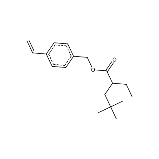 C=Cc1ccc(COC(=O)C(CC)CC(C)(C)C)cc1